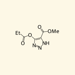 CCC(=O)Oc1nn[nH]c1C(=O)OC